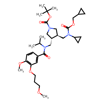 COCCCOc1cc(C(=O)N(C[C@@H]2CN(C(=O)OC(C)(C)C)C[C@H]2CN(C(=O)OCC2CC2)C2CC2)C(C)C)ccc1OC